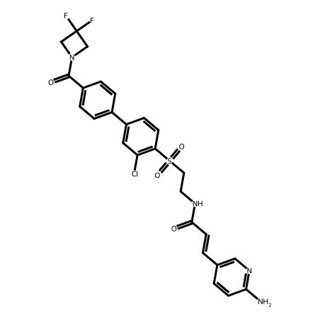 Nc1ccc(/C=C/C(=O)NCCS(=O)(=O)c2ccc(-c3ccc(C(=O)N4CC(F)(F)C4)cc3)cc2Cl)cn1